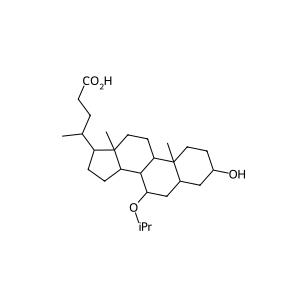 CC(C)OC1CC2CC(O)CCC2(C)C2CCC3(C)C(C(C)CCC(=O)O)CCC3C12